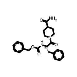 NC(=O)C1CCN(C(=O)[C@H](Cc2ccccc2)NC(=O)OCc2ccccc2)CC1